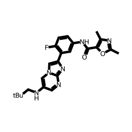 Cc1nc(C)c(C(=O)Nc2ccc(F)c(-c3cn4cc(NCC(C)(C)C)cnc4n3)c2)o1